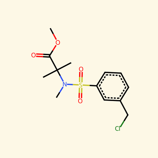 COC(=O)C(C)(C)N(C)S(=O)(=O)c1cccc(CCl)c1